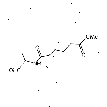 COC(=O)CCCCC(=O)N[C@@H](C)C=O